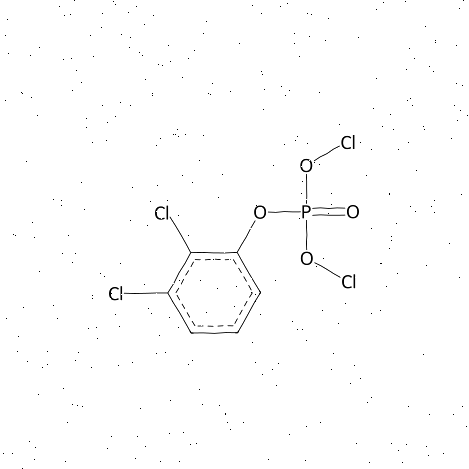 O=P(OCl)(OCl)Oc1cccc(Cl)c1Cl